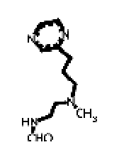 CN(CCCc1cnccn1)CCNC=O